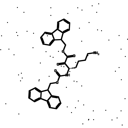 NCCCC[C@H](NC(=O)OCC1c2ccccc2-c2ccccc21)C(=O)C(=O)OCC1c2ccccc2-c2ccccc21